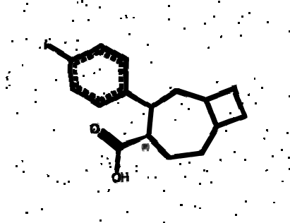 O=C(O)[C@@H]1CCC2CCC2CC1c1ccc(I)cc1